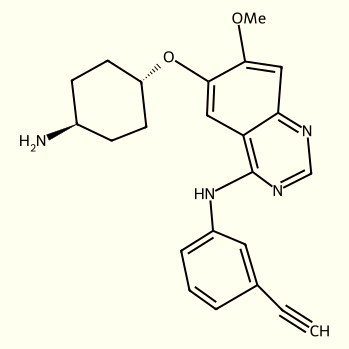 C#Cc1cccc(Nc2ncnc3cc(OC)c(O[C@H]4CC[C@H](N)CC4)cc23)c1